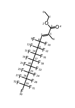 CCOC(=O)C(C)=CC(F)(F)C(F)(F)C(F)(F)C(F)(F)C(F)(F)C(F)(F)C(F)(F)C(F)(F)F